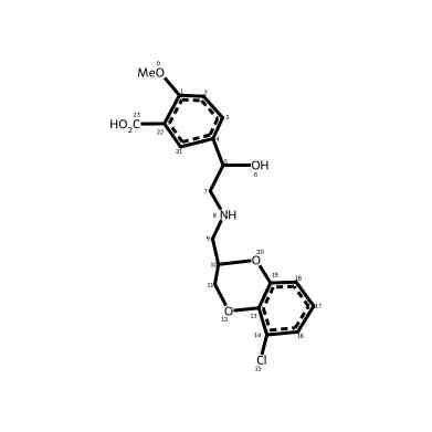 COc1ccc(C(O)CNCC2COc3c(Cl)cccc3O2)cc1C(=O)O